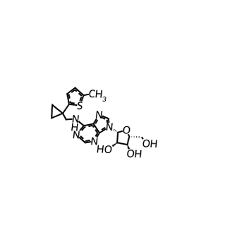 Cc1ccc(C2(CNc3ncnc4c3ncn4[C@@H]3O[C@H](CO)[C@@H](O)[C@H]3O)CC2)s1